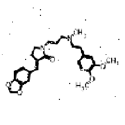 COc1ccc(CCN(C)CCCN2CC/C(=C\c3ccc4c(c3)OCO4)C2=O)cc1OC